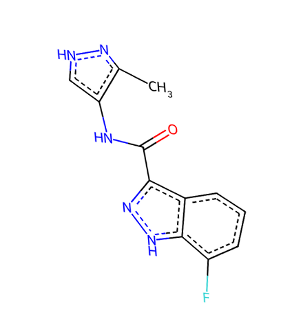 Cc1n[nH]cc1NC(=O)c1n[nH]c2c(F)cccc12